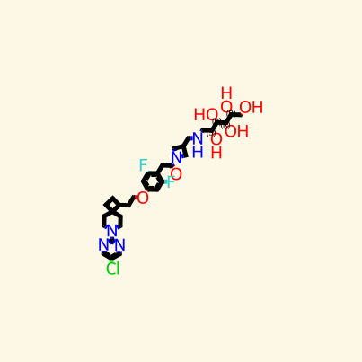 O=C(Cc1c(F)cc(OCCC2CCC23CCN(c2ncc(Cl)cn2)CC3)cc1F)N1CC(CNC[C@H](O)[C@@H](O)[C@H](O)[C@H](O)CO)C1